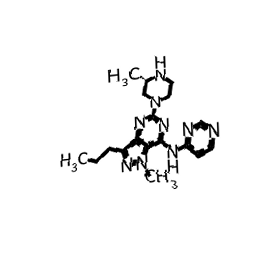 CCCc1nn(C)c2c(Nc3ccncn3)nc(N3CCN[C@@H](C)C3)nc12